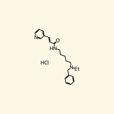 CCN(CCCCCNC(=O)C=Cc1cccnc1)Cc1ccccc1.Cl